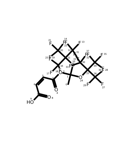 CC(OC(=O)/C=C\C(=O)O)(OC(C(F)(F)F)(C(F)(F)F)C(F)(F)F)OC(C(F)(F)F)(C(F)(F)F)C(F)(F)F